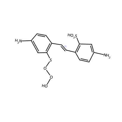 Nc1ccc(/C=C/c2ccc(N)cc2S(=O)(=O)O)c(SOOO)c1